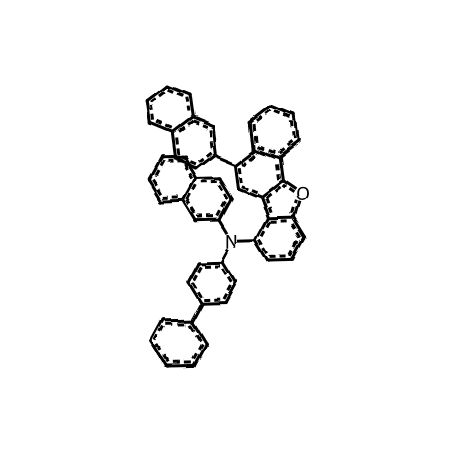 c1ccc(-c2ccc(N(c3ccc4ccccc4c3)c3cccc4oc5c6ccccc6c(-c6ccc7ccccc7c6)cc5c34)cc2)cc1